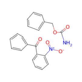 NC(=O)OCc1ccccc1.O=C(c1ccccc1)c1ccccc1[N+](=O)[O-]